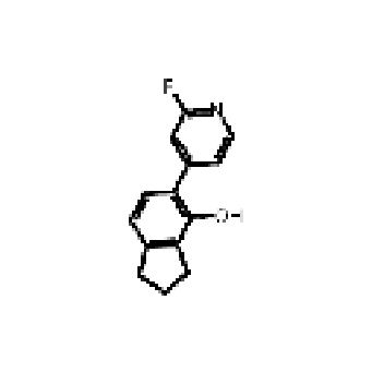 Oc1c(-c2ccnc(F)c2)ccc2c1CCC2